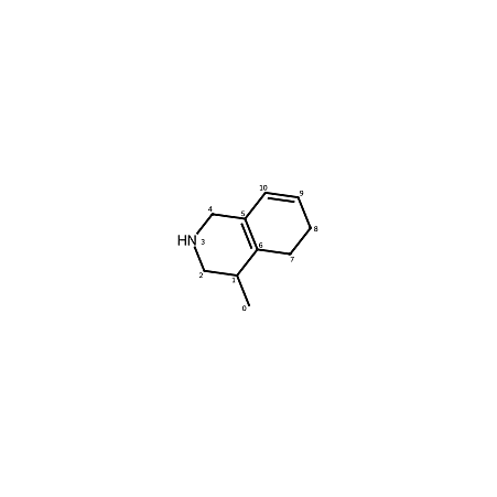 CC1CNCC2=C1CCC=C2